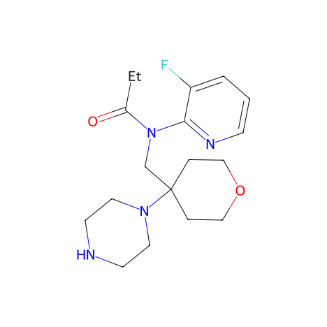 CCC(=O)N(CC1(N2CCNCC2)CCOCC1)c1ncccc1F